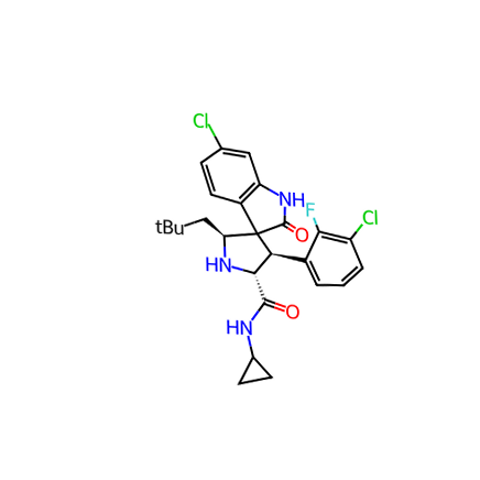 CC(C)(C)C[C@@H]1N[C@@H](C(=O)NC2CC2)[C@H](c2cccc(Cl)c2F)C12C(=O)Nc1cc(Cl)ccc12